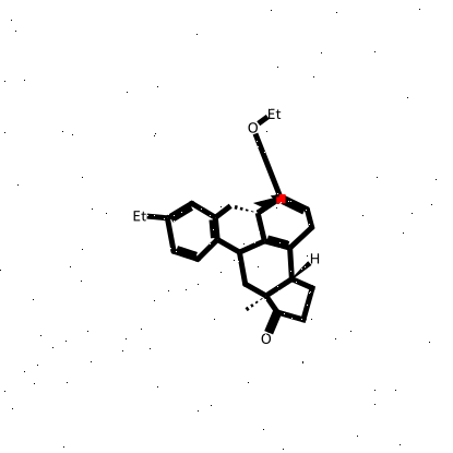 CCOC1=CC2=CCC3=C4C(C[C@]5(C)C(=O)CC[C@@H]35)c3ccc(CC)cc3C[C@]24CC1